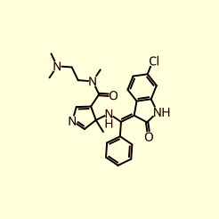 CN(C)CCN(C)C(=O)C1=CN=CC1(C)NC(=C1C(=O)Nc2cc(Cl)ccc21)c1ccccc1